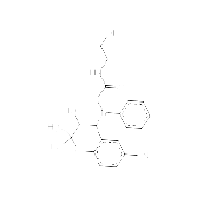 CC1(C)Oc2ccc(C#N)cc2C(N(CC(=O)NCCO)c2ccccc2)C1O